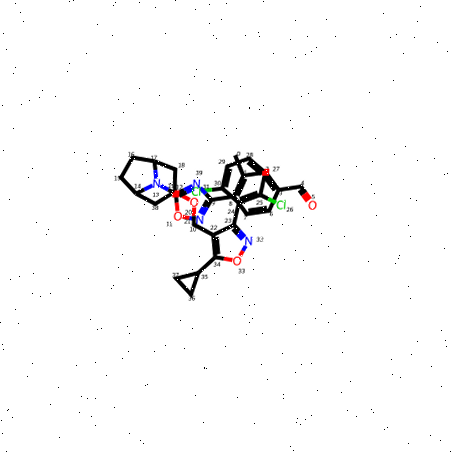 Cc1cc(C=O)ccc1-c1noc(N2C3CCC2CC(OCc2c(-c4c(Cl)cccc4Cl)noc2C2CC2)C3)n1